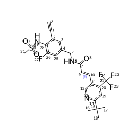 C#Cc1cc(CNC(=O)/C=C/c2cnc(C(C)(C)C)cc2C(F)(F)F)cc(F)c1NS(C)(=O)=O